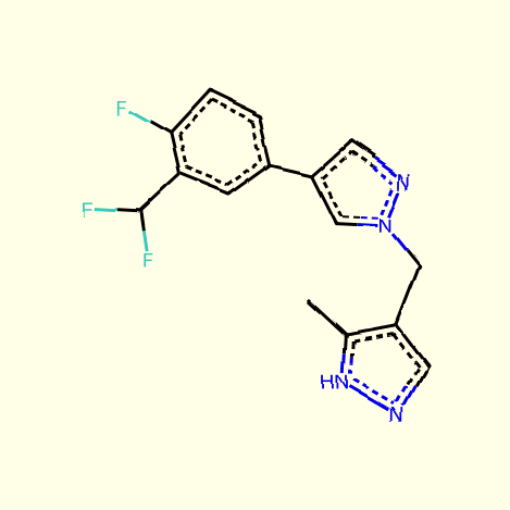 Cc1[nH]ncc1Cn1cc(-c2ccc(F)c(C(F)F)c2)cn1